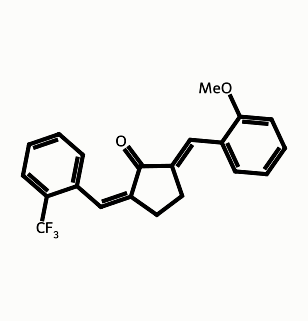 COc1ccccc1C=C1CCC(=Cc2ccccc2C(F)(F)F)C1=O